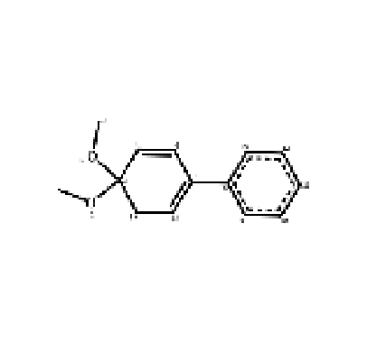 COC1(OC)C=CC(c2ccccc2)=CC1